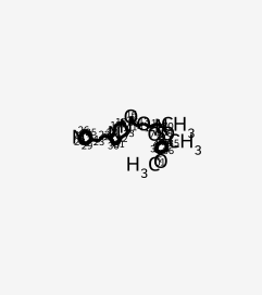 COc1ccc(S(=O)(=O)N(C)CCOCC(=O)N2CCn3c(CCc4ccncc4)ccc3C2)c(C)c1